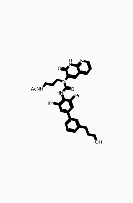 CC(=O)NCCCN(C(=O)Nc1c(C(C)C)cc(-c2cccc(CCCO)c2)cc1C(C)C)c1cc2cccnc2[nH]c1=O